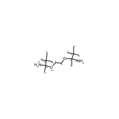 CC(C)(C)C(C)(N)OCCOC(C)(N)C(C)(C)C